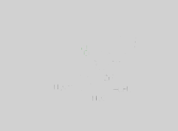 CC1=CCC(c2ccc3c([c]2[Zr+2]=[C](C)C)Cc2ccccc2-3)=C1.[Cl-].[Cl-]